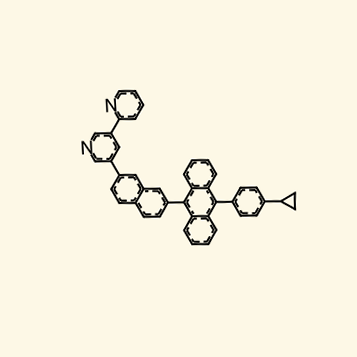 c1ccc(-c2cncc(-c3ccc4ccc(-c5c6ccccc6c(-c6ccc(C7CC7)cc6)c6ccccc56)cc4c3)c2)nc1